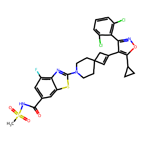 CS(=O)(=O)NC(=O)c1cc(F)c2nc(N3CCC4(C=C(c5c(-c6c(Cl)cccc6Cl)noc5C5CC5)C4)CC3)sc2c1